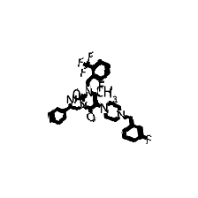 Cc1c(N2CCN(Cc3cccc(F)c3)CC2)c(=O)n(CC(N)c2ccccc2)c(=O)n1Cc1c(F)cccc1C(F)(F)F